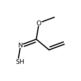 C=C/C(=N\S)OC